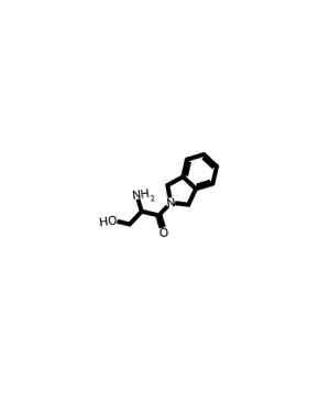 NC(CO)C(=O)N1Cc2ccccc2C1